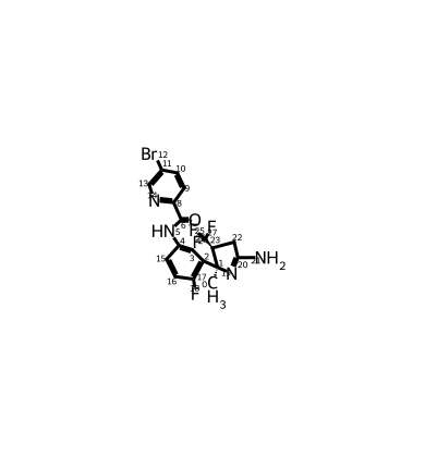 C[C@@]1(c2cc(NC(=O)c3ccc(Br)cn3)ccc2F)N=C(N)C[C@@H]1C(F)(F)F